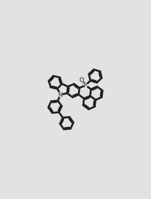 O=P1(c2ccccc2)c2cc3c4ccccc4n(-c4cccc(-c5ccccc5)c4)c3cc2-c2cccc3cccc1c23